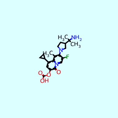 Cc1c(N2CCC(C(C)(C)N)C2)c(F)cn2c(=O)c(OC(=O)O)cc(C3CC3)c12